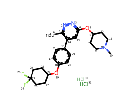 CCCCc1nnc(OC2CCN(C)CC2)cc1-c1ccc(OC2CCC(F)(F)CC2)cc1.Cl.Cl